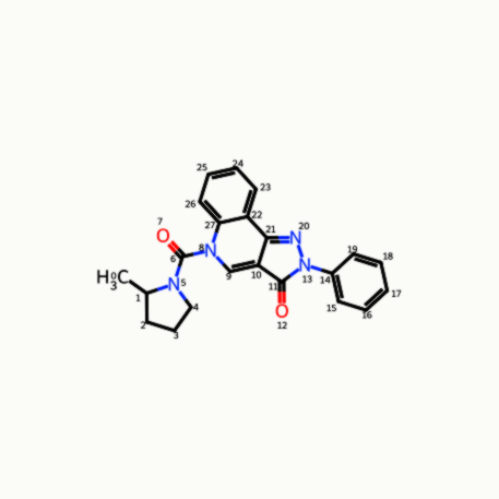 CC1CCCN1C(=O)n1cc2c(=O)n(-c3ccccc3)nc-2c2ccccc21